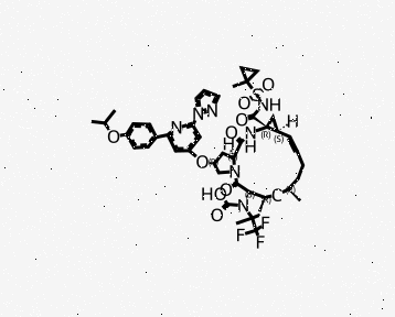 CC(C)Oc1ccc(-c2cc(O[C@@H]3C[C@H]4C(=O)N[C@]5(C(=O)NS(=O)(=O)C6(C)CC6)C[C@H]5C=CCC[C@@H](C)C[C@@H](C)[C@H](N(C(=O)O)C(C)(C)C(F)(F)F)C(=O)N4C3)cc(-n3cccn3)n2)cc1